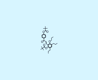 CCCOc1c(CCC)cc(CCC)c(OC(=O)C(C)(C)C)c1C=CC(=O)c1ccc(OC(=O)C(C)(C)C)cc1